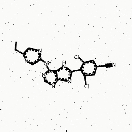 CCc1cnc(Nc2ncnc3nc(-c4c(Cl)cc(C#N)cc4Cl)[nH]c23)cn1